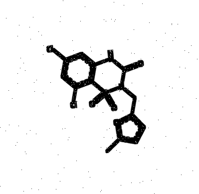 Cc1ccc(CN2C(=O)Nc3cc(Cl)cc(Cl)c3S2(=O)=O)o1